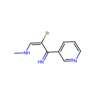 CN/C=C(/Br)C(=N)c1cccnc1